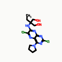 CCC(CO)(CO)Nc1nc2nc(Cl)nc(N3CCCC3)c2nc1Cl